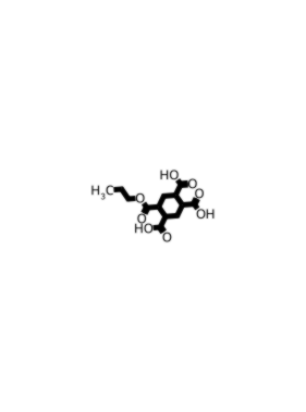 CCCOC(=O)C1CC(C(=O)O)C(C(=O)O)CC1C(=O)O